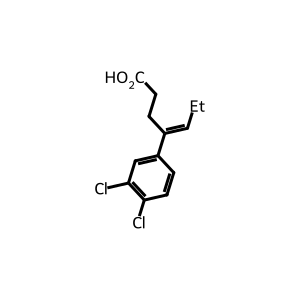 CCC=C(CCC(=O)O)c1ccc(Cl)c(Cl)c1